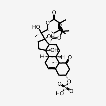 CC(=O)OC[C@]12CC[C@H]3[C@@H](CC=C4C[C@@H](OS(=O)(=O)O)CC(=O)[C@@]43C)[C@]1(O)CC[C@@]2(O)[C@@](C)(O)[C@H]1CC(C)=C(C)C(=O)O1